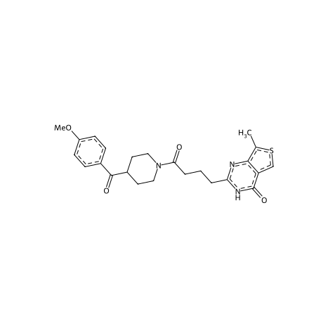 COc1ccc(C(=O)C2CCN(C(=O)CCCc3nc4c(C)scc4c(=O)[nH]3)CC2)cc1